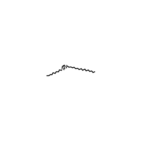 CCCCCCCCCCCCCCCCCN1C=CN(CCCCCCCCCC)C1